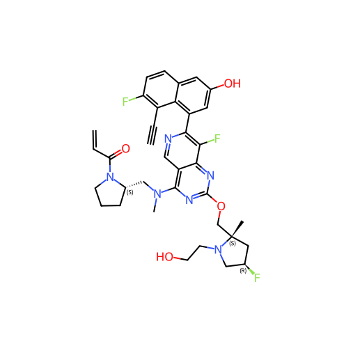 C#Cc1c(F)ccc2cc(O)cc(-c3ncc4c(N(C)C[C@@H]5CCCN5C(=O)C=C)nc(OC[C@]5(C)C[C@@H](F)CN5CCO)nc4c3F)c12